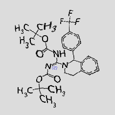 CC(C)(C)OC(=O)/N=C(/NC(=O)OC(C)(C)C)N1CCc2ccccc2C1c1ccc(C(F)(F)F)cc1